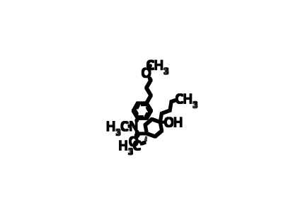 CCCC[C@]1(O)CC[C@@](CC)(C(=O)N(C)c2ccc(CCCOC)cc2)CC1